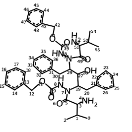 CC(C)[C@H](N)C(=O)N(NC(=O)OCc1ccccc1)C(Cc1ccccc1)C(O)C(Cc1ccccc1)N(NC(=O)OCc1ccccc1)C(=O)[C@@H](N)C(C)C